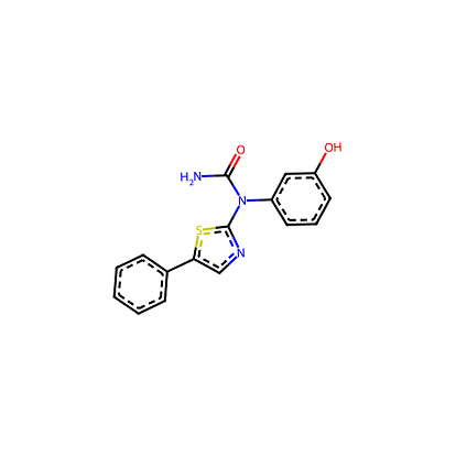 NC(=O)N(c1cccc(O)c1)c1ncc(-c2ccccc2)s1